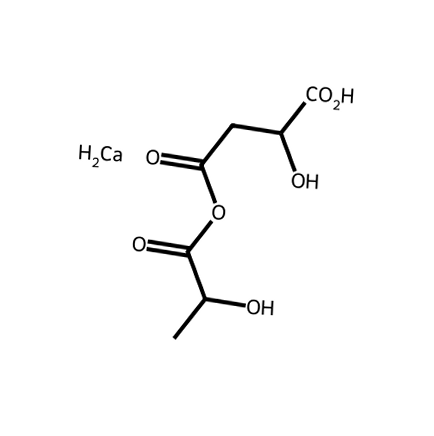 CC(O)C(=O)OC(=O)CC(O)C(=O)O.[CaH2]